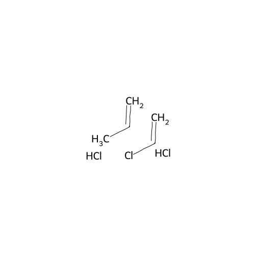 C=CC.C=CCl.Cl.Cl